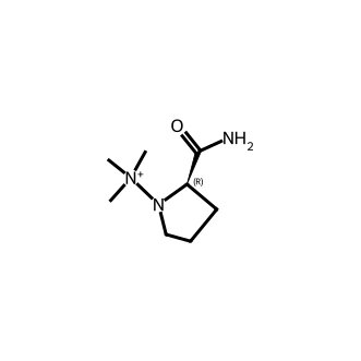 C[N+](C)(C)N1CCC[C@@H]1C(N)=O